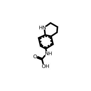 O=C(O)Nc1ccc2c(c1)CCCN2